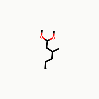 [CH2]CCC(C)CC(OC)OC